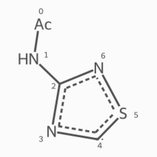 CC(=O)Nc1n[c]sn1